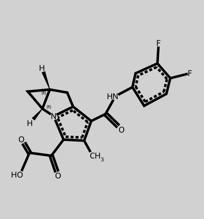 Cc1c(C(=O)Nc2ccc(F)c(F)c2)c2n(c1C(=O)C(=O)O)[C@@H]1C[C@@H]1C2